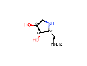 CC(=O)NC[C@H]1NC[C@H](O)[C@H]1O